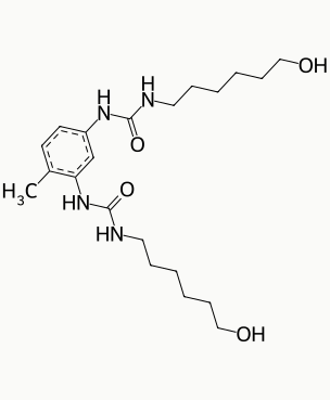 Cc1ccc(NC(=O)NCCCCCCO)cc1NC(=O)NCCCCCCO